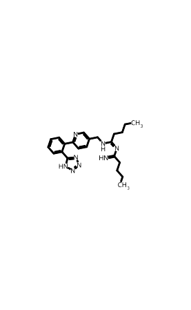 CCCCC(=N)/N=C(/CCCC)NCc1ccc(-c2ccccc2-c2nnn[nH]2)nc1